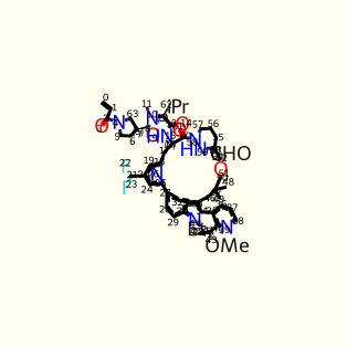 C=CC(=O)N1CC[C@H](C(=O)N(C)[C@H](C(=O)N[C@H]2Cc3cc(C(F)F)cc(n3)-c3ccc4c(c3)c(c(-c3cccnc3[C@H](C)OC)n4CC)CC(C)(C)COC[C@@]3(C=O)CCCN(N3)C2=O)C(C)C)C1